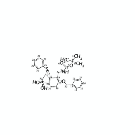 CC(C)(C)OC(=O)NCc1c(OCc2ccccc2)ccc2c1C(Sc1ccccc1)CS2(O)O